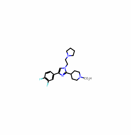 O=C(O)N1CCC(c2nc(-c3ccc(F)c(F)c3)cn2CCN2CCCC2)CC1